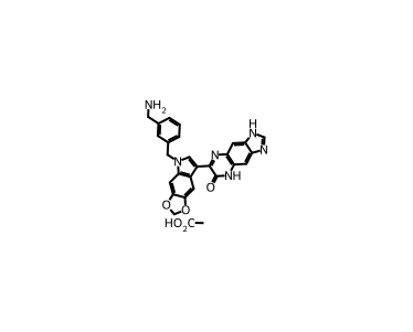 CC(=O)O.NCc1cccc(Cn2cc(-c3nc4cc5[nH]cnc5cc4[nH]c3=O)c3cc4c(cc32)OCO4)c1